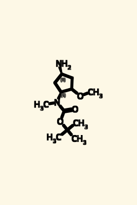 COC1C[C@H](N)C[C@@H]1N(C)C(=O)OC(C)(C)C